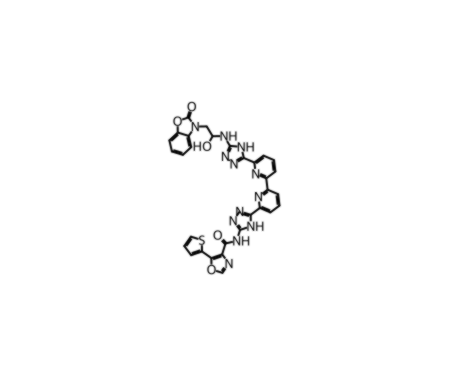 O=C(Nc1nnc(-c2cccc(-c3cccc(-c4nnc(NC(O)Cn5c(=O)oc6ccccc65)[nH]4)n3)n2)[nH]1)c1ncoc1-c1cccs1